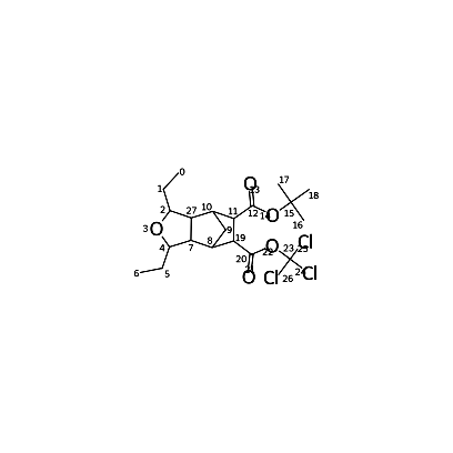 CCC1OC(CC)C2C3CC(C(C(=O)OC(C)(C)C)C3C(=O)OC(Cl)(Cl)Cl)C12